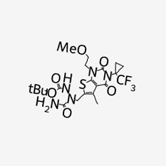 COCCn1c(=O)n(C2(C(F)(F)F)CC2)c(=O)c2c(C)c(CN(NC(=O)OC(C)(C)C)C(N)=O)sc21